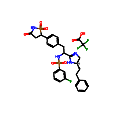 O=C(O)C(F)(F)F.O=C1CC(c2ccc(CC(NS(=O)(=O)c3cccc(F)c3)C3=NC[C@@H](CCc4ccccc4)N3)cc2)S(=O)(=O)N1